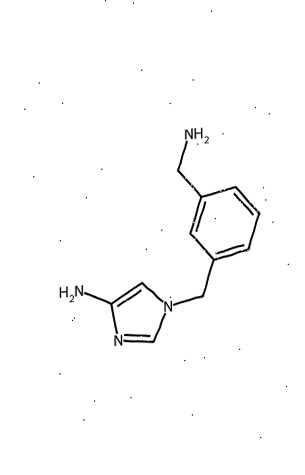 NCc1cccc(Cn2cnc(N)c2)c1